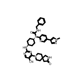 Cn1cc(-c2ccc(N(C(=O)NCc3ccccc3)[C@H]3CC[C@H](Nc4ncc(C#N)c(N5CCC6(CC5)CNC(=O)C6)n4)CC3)nc2)cn1